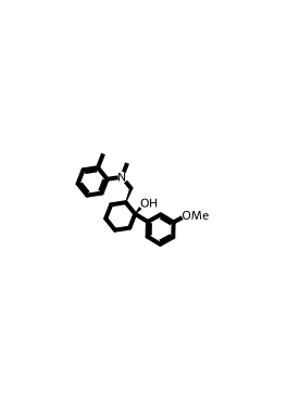 COc1cccc([C@]2(O)CCCC[C@H]2CN(C)c2ccccc2C)c1